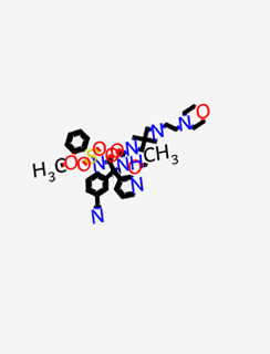 CCOc1ncccc1[C@@]1(NC(=O)N2CC3(CN(CCN4CCOCC4)C3)C2)C(=O)N(S(=O)(=O)c2ccccc2OC)c2ccc(C#N)cc21